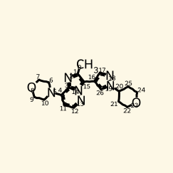 Cc1nc2c(N3CCOCC3)ccnn2c1-c1cnn(C2CCOCC2)c1